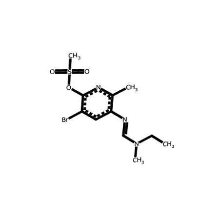 CCN(C)/C=N/c1cc(Br)c(OS(C)(=O)=O)nc1C